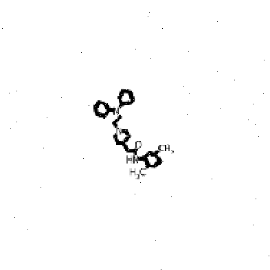 Cc1ccc(C)c(NC(=O)CC2CCN(CCN(c3ccccc3)c3ccccc3)CC2)c1